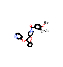 COc1cc(C(=O)N2CCC3(CC2)CC(Oc2cccnc2)c2ccccc2O3)ccc1OC(C)C